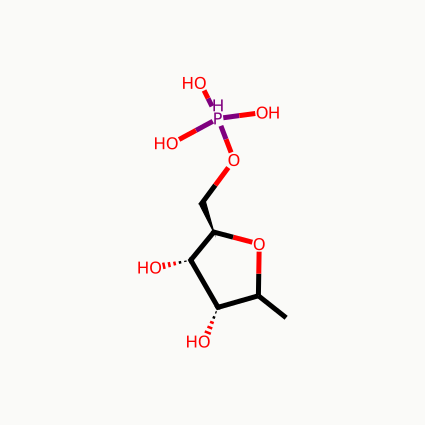 CC1O[C@H](CO[PH](O)(O)O)[C@@H](O)[C@H]1O